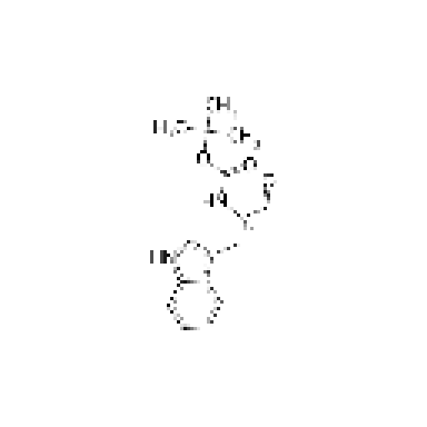 CC(C)(C)OC(=O)N[C@H](C=O)Cc1c[nH]c2ccccc12